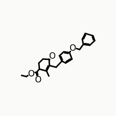 CCOC(=O)C1CCC(=O)C(Cc2ccc(OCc3ccccc3)cc2)=C1C